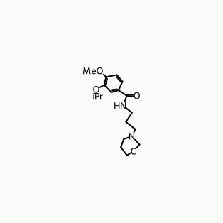 COc1ccc(C(=O)NCCCN2CCCCC2)cc1OC(C)C